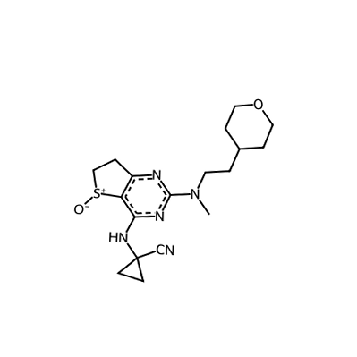 CN(CCC1CCOCC1)c1nc2c(c(NC3(C#N)CC3)n1)[S+]([O-])CC2